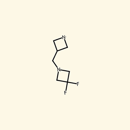 FC1(F)CN(CC2C[N]C2)C1